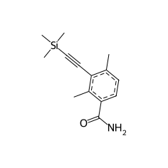 Cc1ccc(C(N)=O)c(C)c1C#C[Si](C)(C)C